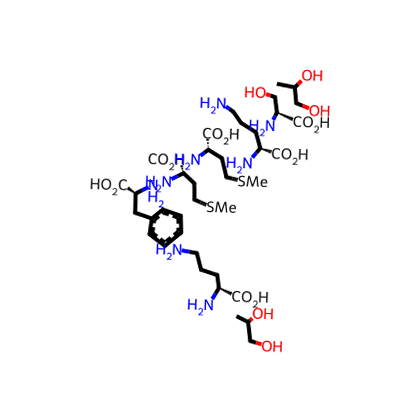 CC(O)CO.CC(O)CO.CSCC[C@H](N)C(=O)O.CSCC[C@H](N)C(=O)O.NCCC[C@H](N)C(=O)O.NCCC[C@H](N)C(=O)O.N[C@@H](CO)C(=O)O.N[C@@H](Cc1ccccc1)C(=O)O